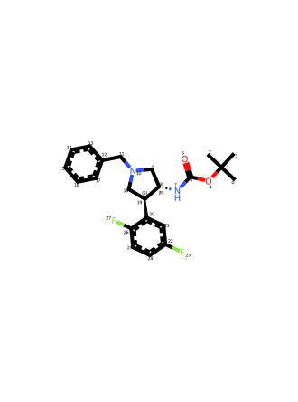 CC(C)(C)OC(=O)N[C@H]1CN(Cc2ccccc2)C[C@@H]1c1cc(F)ccc1F